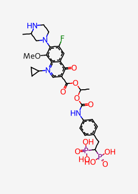 COc1c(N2CCNC(C)C2)c(F)cc2c(=O)c(C(=O)OC(C)OC(=O)Nc3ccc(CC(P(=O)(O)O)P(=O)(O)O)cc3)cn(C3CC3)c12